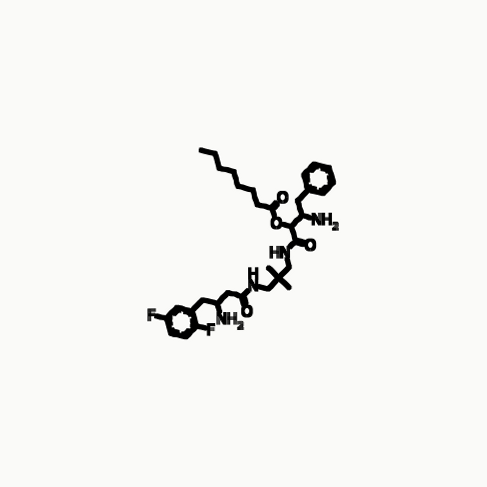 CCCCCCCC(=O)OC(C(=O)NCC(C)(C)CNC(=O)CC(N)Cc1cc(F)ccc1F)C(N)Cc1ccccc1